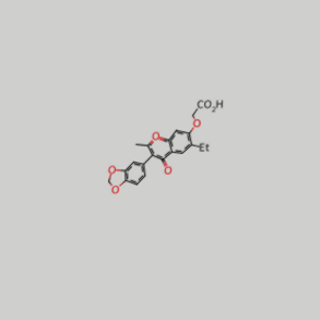 CCc1cc2c(=O)c(-c3ccc4c(c3)OCO4)c(C)oc2cc1OCC(=O)O